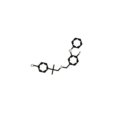 CC(C)(CSCc1ccc(F)c(Oc2ccccc2)c1)c1ccc(Cl)cc1